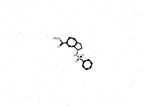 COC(=O)c1ccc2c(c1)[C@H](NS(=O)(=O)c1ccccc1)CC2